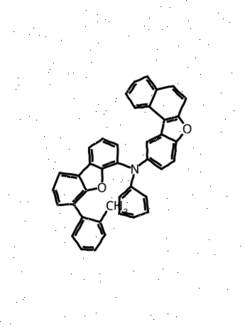 Cc1ccccc1-c1cccc2c1oc1c(N(c3ccccc3)c3ccc4oc5ccc6ccccc6c5c4c3)cccc12